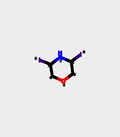 IC1COCC(I)N1